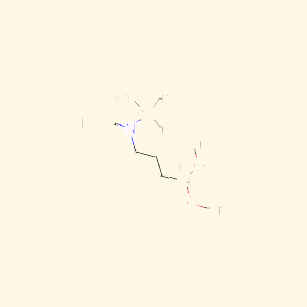 CCO[SiH](CCCN(C)[Si](C(C)C)(C(C)C)C(C)C)OCC